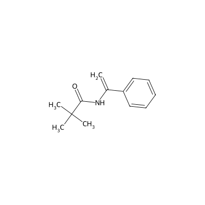 C=C(NC(=O)C(C)(C)C)c1ccccc1